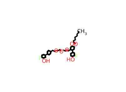 CCCCCCCC(=O)Oc1ccc(-c2ccc(O)c(F)c2)c(COCCOCCOCCc2ccc(-c3ccc(F)c(O)c3)cc2)c1